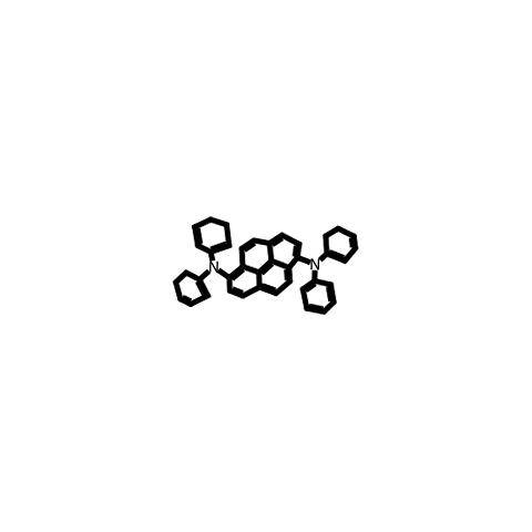 C1=CCCC(N(C2=CCCC=C2)c2ccc3ccc4c(N(C5=CC=CCC5)c5ccccc5)ccc5ccc2c3c54)=C1